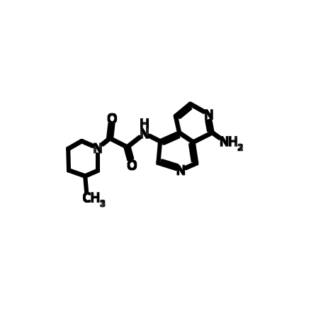 CC1CCCN(C(=O)C(=O)Nc2cncc3c(N)nccc23)C1